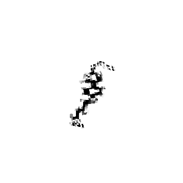 CCCCCCCCOc1ncc(-c2ccc(OCCCCC[C@@H](C)CC)cc2)cn1